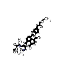 C/C=C\c1c(/C=C(\C)C(=O)OCC)nc2c3ccc4c5c(ccc(c(=O)n12)c35)c(=O)n1c2ccc(CC(=O)COCC)cc2nc41